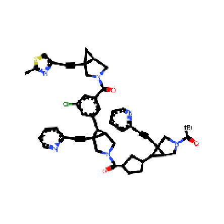 Cc1nc(C#CC23CC2CN(C(=O)c2cc(Cl)cc(C4C5CN(C(=O)C6CCC(C7C8CN(C(=O)C(C)(C)C)CC87C#Cc7ccccn7)C6)CC54C#Cc4ccccn4)c2)C3)cs1